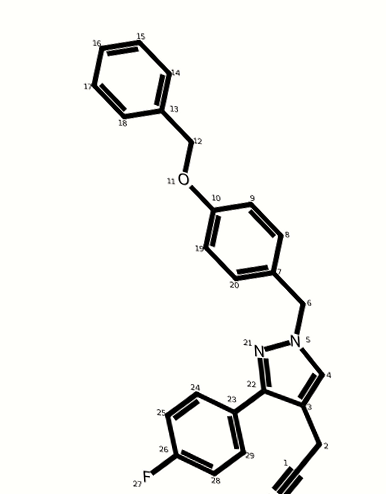 N#CCc1cn(Cc2ccc(OCc3ccccc3)cc2)nc1-c1ccc(F)cc1